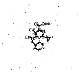 CCN(Cc1ccncc1)c1nc(C2CC2)nc(C(=O)OC)c1Cl